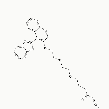 C=CC(=O)OCCOCCOCCOc1ccc2ccccc2c1-c1nc2ccccc2s1